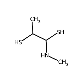 CNC(S)C(C)S